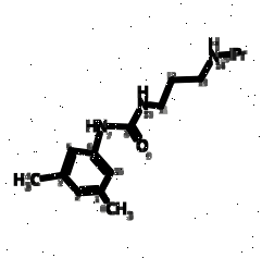 Cc1cc(C)cc(NC(=O)NCCCNC(C)C)c1